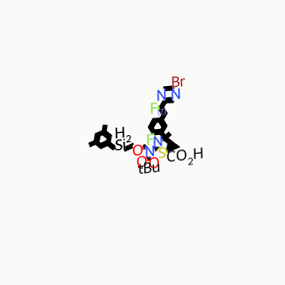 Cc1cc(C)cc(C[SiH2]CCOCN(C(=O)OC(C)(C)C)C2=NC(C)(c3cc(/C=C(\F)c4cnc(Br)cn4)ccc3F)C3CC3(C(=O)O)S2)c1